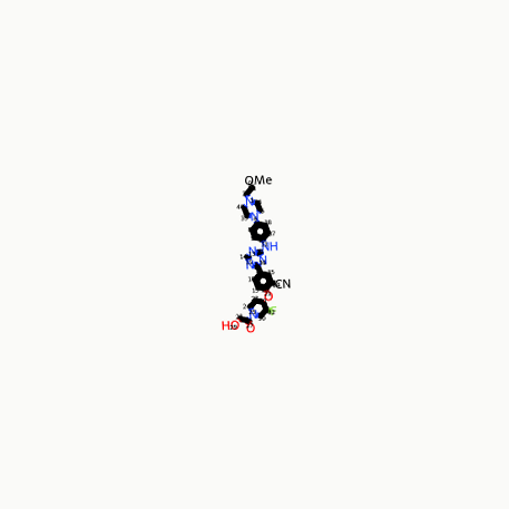 COCCN1CCN(c2ccc(Nc3ncnc(-c4ccc(OC5CCN(C(=O)CO)CC5F)c(C#N)c4)n3)cc2)CC1